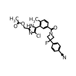 CC(=O)OCc1nc(Cl)c(-c2cc(C(=O)N3CC(F)(c4ccc(C#N)cc4)C3)ccc2C)[nH]1